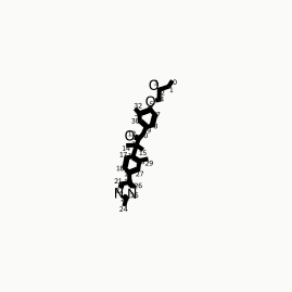 CCC(=O)COc1ccc(CC(=O)C(C)(C)c2ccc(-c3cnc(C)nc3)cc2C)cc1C